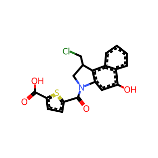 O=C(O)c1ccc(C(=O)N2CC(CCl)c3c2cc(O)c2ccccc32)s1